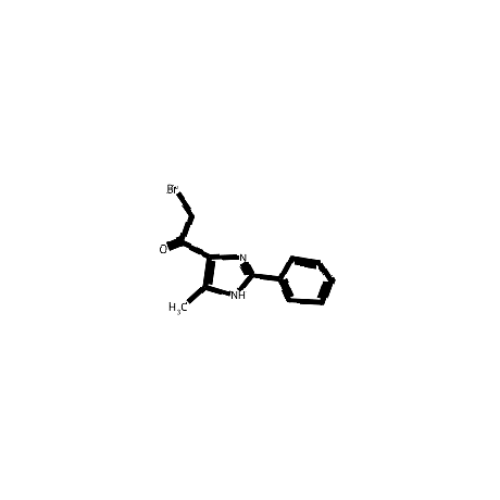 Cc1[nH]c(-c2ccccc2)nc1C(=O)CBr